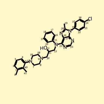 Cc1cccc(N2CCN(CC(O)CN(c3ccccc3)c3ncnc4c3nc(C)n4-c3ccc(Cl)cc3)CC2)c1C